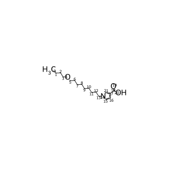 CCCCOCCCCCCCCCn1ccc(C(=O)O)c1